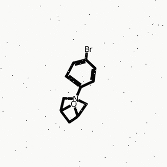 Brc1ccc(N2CC3CC(C2)O3)cc1